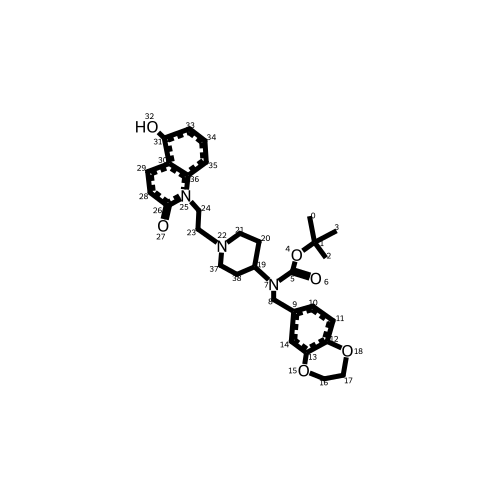 CC(C)(C)OC(=O)N(Cc1ccc2c(c1)OCCO2)C1CCN(CCn2c(=O)ccc3c(O)cccc32)CC1